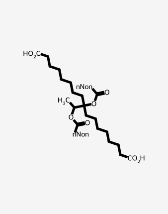 CCCCCCCCCC(=O)OC(C)C(CCCCCCCC(=O)O)(CCCCCCCC(=O)O)OC(=O)CCCCCCCCC